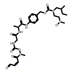 CCC(C)CN(CC[S+](C)[O-])C(=O)OCc1ccc(NC(=O)C(C)NC(=O)CNC(=O)ON(C)C(=O)/C=C\C=O)cc1